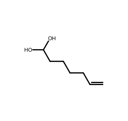 C=CCCCCC(O)O